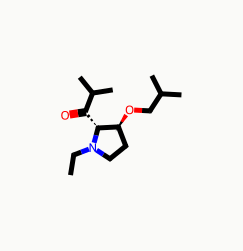 CCN1CC[C@H](OCC(C)C)[C@H]1C(=O)C(C)C